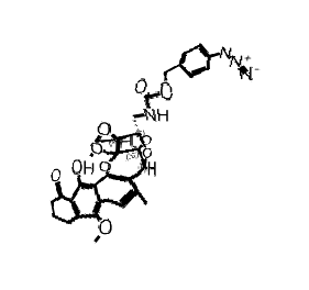 COc1c2c(c(O)c3c4c(c(C)cc13)[C@H]1O[C@]3(CNC(=O)OCc5ccc(N=[N+]=[N-])cc5)O[C@@H]1C(OC)(O4)[C@@]31CO1)C(=O)CCC2